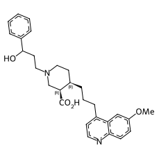 COc1ccc2nccc(CCC[C@@H]3CCN(CCC(O)c4ccccc4)C[C@@H]3C(=O)O)c2c1